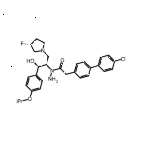 CC(C)Oc1ccc([C@@H](O)[C@@H](CN2CC[C@@H](F)C2)N(N)C(=O)Cc2ccc(-c3ccc(Cl)cc3)cc2)cc1